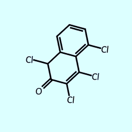 O=C1C(Cl)=C(Cl)c2c(Cl)cccc2C1Cl